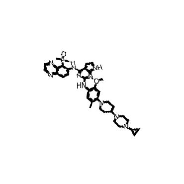 COc1cc(N2CCC(N3CCN(C4CC4)CC3)CC2)c(C)cc1Nc1nc(Nc2ccc3nccnc3c2P(C)(C)=O)c2cc[nH]c2n1